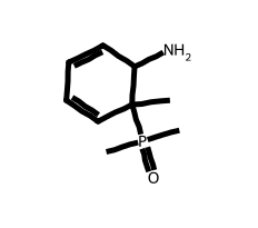 CC1(P(C)(C)=O)C=CC=CC1N